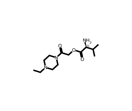 CCN1CCN(C(=O)COC(=O)[C@@H](N)C(C)C)CC1